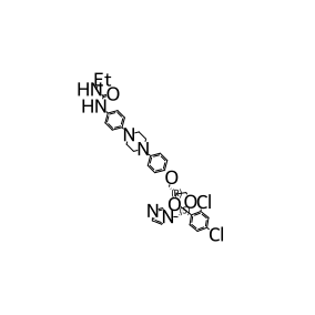 CCNC(=O)Nc1ccc(N2CCN(c3ccc(OC[C@@H]4CO[C@@](Cn5ccnc5)(c5ccc(Cl)cc5Cl)O4)cc3)CC2)cc1